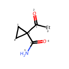 CCC(=O)C1(C(N)=O)CC1